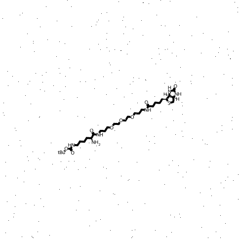 CC(C)(C)OC(=O)NCCCC[C@H](N)C(=O)NCCCOCCOCCOCCCNC(=O)CCCC[C@@H]1SC[C@@H]2NC(=O)N[C@@H]21